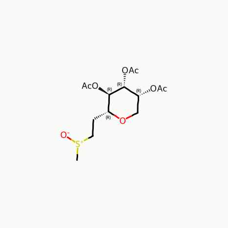 CC(=O)O[C@H]1[C@H](OC(C)=O)[C@H](OC(C)=O)CO[C@@H]1CC[S+](C)[O-]